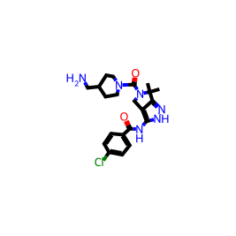 CC1(C)c2n[nH]c(NC(=O)c3ccc(Cl)cc3)c2CN1C(=O)N1CCC(CN)CC1